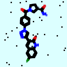 NC(=O)[C@@H]1CCN(C(=O)c2ccc(-n3cc(-c4cc5cc(F)ccc5[nH]c4=O)nn3)cc2)C1